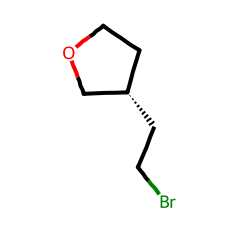 BrCC[C@H]1CCOC1